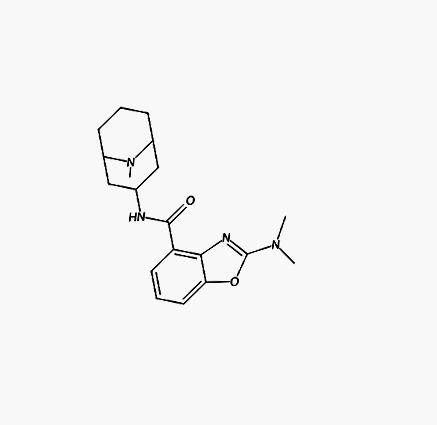 CN(C)c1nc2c(C(=O)NC3CC4CCCC(C3)N4C)cccc2o1